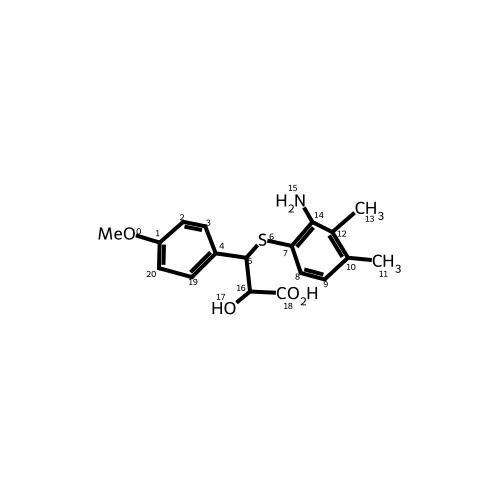 COc1ccc(C(Sc2ccc(C)c(C)c2N)C(O)C(=O)O)cc1